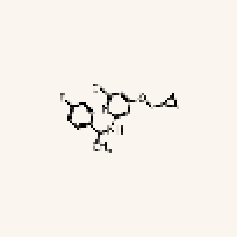 C[C@H](Nc1cc(OCC2CC2)cc(Cl)n1)c1ccc(F)cc1